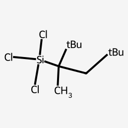 CC(C)(C)CC(C)(C(C)(C)C)[Si](Cl)(Cl)Cl